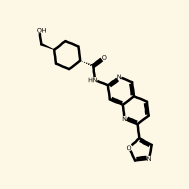 O=C(Nc1cc2nc(-c3cnco3)ccc2cn1)[C@H]1CC[C@H](CO)CC1